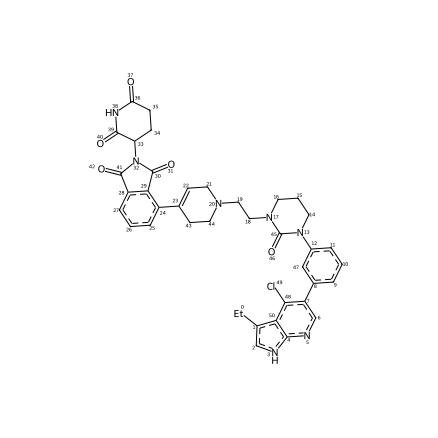 CCc1c[nH]c2ncc(-c3cccc(N4CCCN(CCN5CC=C(c6cccc7c6C(=O)N(C6CCC(=O)NC6=O)C7=O)CC5)C4=O)c3)c(Cl)c12